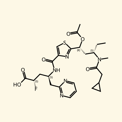 CC[C@@H](C[C@@H](OC(C)=O)c1nc(C(=O)N[C@@H](Cc2ncccn2)C[C@H](F)C(=O)O)cs1)N(C)C(=O)CC1CC1